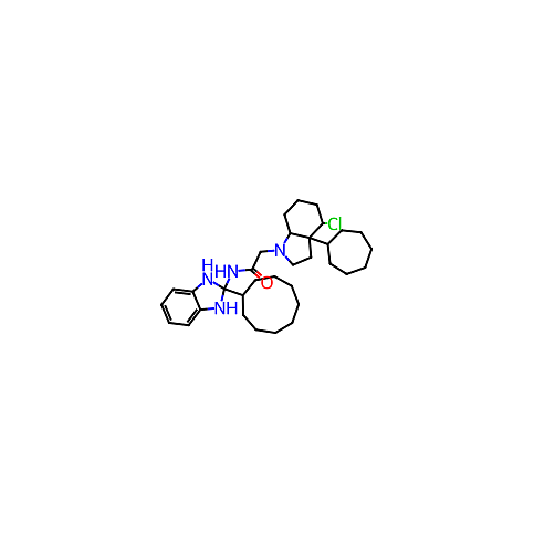 O=C(CN1CCC2(C3CCCCCC3)C(Cl)CCCC12)NC1(C2CCCCCCCC2)Nc2ccccc2N1